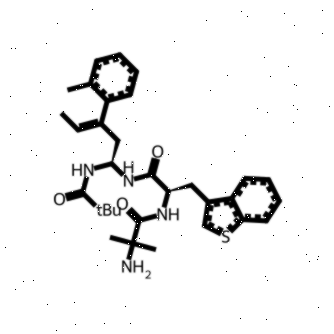 C/C=C(/C[C@@H](NC(=O)[C@@H](Cc1csc2ccccc12)NC(=O)C(C)(C)N)NC(=O)C(C)(C)C)c1ccccc1C